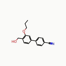 CCCOc1cc(-c2ccc(C#N)cc2)ccc1CO